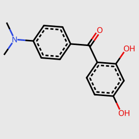 CN(C)c1ccc(C(=O)c2ccc(O)cc2O)cc1